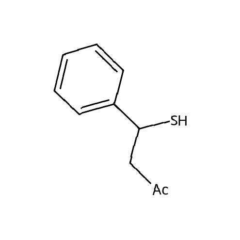 CC(=O)CC(S)c1ccccc1